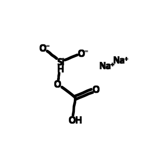 O=C(O)O[SiH]([O-])[O-].[Na+].[Na+]